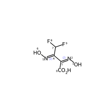 O=C(O)C(=N\O)/C(=N/O)C(F)F